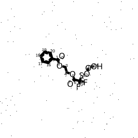 O=C(OCCOC(=O)C(F)(F)SOOO)c1ccccc1